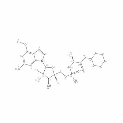 CCOc1nc(N)nc2c1ncn2C1O[C@](F)(CO[P@](C)(=O)N[C@@H](C)C(=O)OC2CCCCC2)[C@@H](O)[C@@]1(C)F